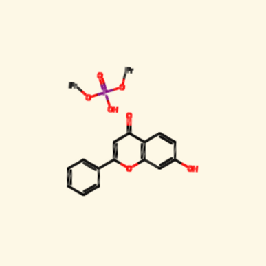 CC(C)OP(=O)(O)OC(C)C.O=c1cc(-c2ccccc2)oc2cc(O)ccc12